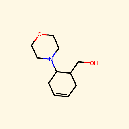 OCC1CC=CCC1N1CCOCC1